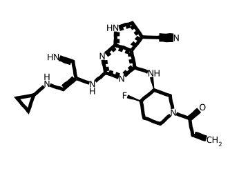 C=CC(=O)N1CC[C@@H](F)[C@@H](Nc2nc(N/C(C=N)=C/NC3CC3)nc3[nH]cc(C#N)c23)C1